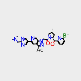 CC(=O)c1nn(CC(=O)N2C[C@H](C)C[C@H]2C(=O)c2cccc(Br)n2)c2cnc(-c3cnc(CN(C)C)nc3)cc12